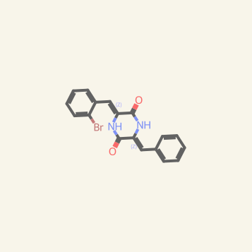 O=c1[nH]/c(=C\c2ccccc2Br)c(=O)[nH]/c1=C\c1ccccc1